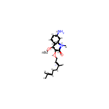 CCCCOc1c(OC/C=C(\C)CCC=C(C)C)c(=O)n(C)c2cc(N)ccc12